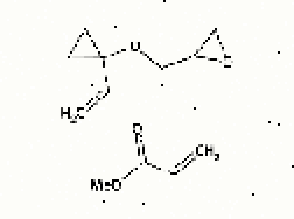 C=CC(=O)OC.C=CC1(OCC2CO2)CC1